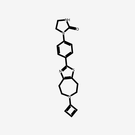 O=C1NCCN1c1ccc(-c2nc3c(s2)CCN(C2=CC=C2)CC3)cc1